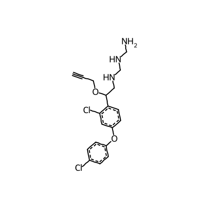 C#CCOC(CNCNCN)c1ccc(Oc2ccc(Cl)cc2)cc1Cl